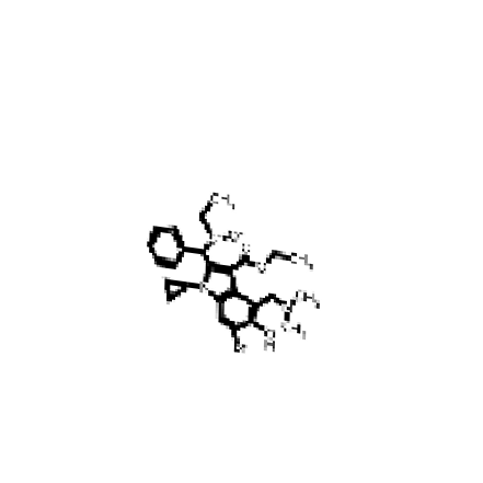 CCOC(=O)c1c(C(c2ccccc2)[S+]([O-])CC)n(C2CC2)c2cc(Br)c(O)c(CN(C)C)c12